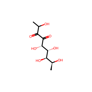 CC(O)C(=O)C(=O)[C@@H](O)[C@H](O)[C@H](O)[C@H](C)O